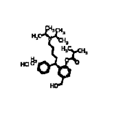 CC(C)C(=O)Oc1ccc(CO)cc1[C@H](CCCCN(C(C)C)C(C)C)c1ccccc1.Cl.O